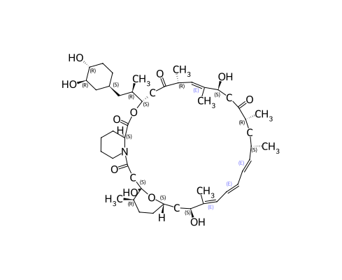 C/C1=C\[C@@H](C)C(=O)C[C@@H]([C@H](C)C[C@@H]2CC[C@@H](O)[C@H](O)C2)OC(=O)[C@@H]2CCCCN2C(=O)C[C@]2(O)O[C@@H](CC[C@H]2C)C[C@H](O)/C(C)=C/C=C/C=C/[C@@H](C)C[C@@H](C)C(=O)C[C@@H]1O